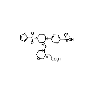 C[C@@](O)(c1ccc(N2CCN(S(=O)(=O)c3cccs3)C[C@@H]2CN2CCOC[C@H]2CC(=O)O)cc1)C(F)(F)F